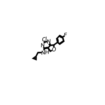 Fc1ccc(C2OCc3c(NCC4CC4)nc(Cl)nc32)cc1